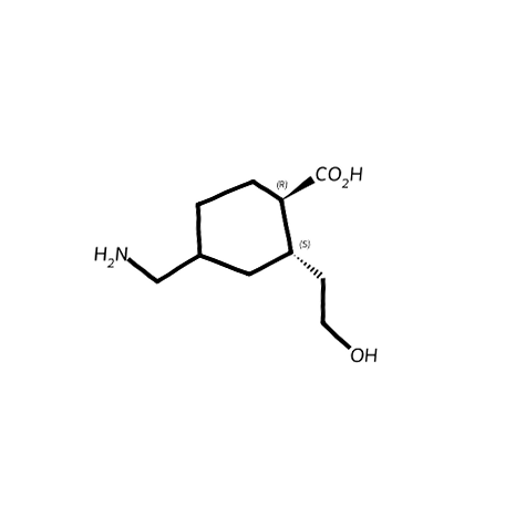 NCC1CC[C@@H](C(=O)O)[C@H](CCO)C1